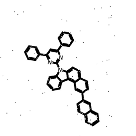 c1ccc(-c2cc(-c3ccccc3)nc(-n3c4ccccc4c4c5cc(-c6ccc7ccccc7c6)ccc5ccc43)n2)cc1